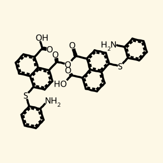 Nc1ccccc1Sc1ccc(C(=O)OC(=O)c2ccc(Sc3ccccc3N)c3cccc(C(=O)O)c23)c2c(C(=O)O)cccc12